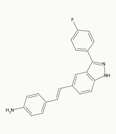 Nc1ccc(/C=C/c2ccc3[nH]nc(-c4ccc(F)cc4)c3c2)cc1